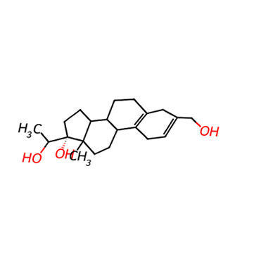 CC(O)[C@@]1(O)CCC2C3CCC4=C(CC=C(CO)C4)C3CCC21C